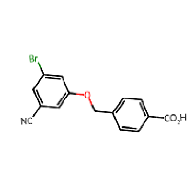 N#Cc1cc(Br)cc(OCc2ccc(C(=O)O)cc2)c1